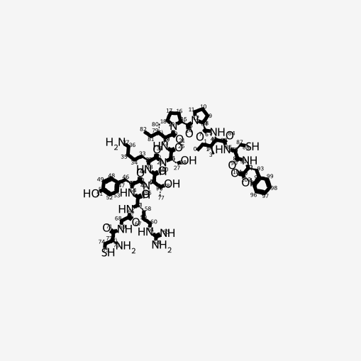 CC[C@H](C)[C@H](NC(=O)[C@@H]1CCCN1C(=O)[C@@H]1CCCN1C(=O)[C@@H](NC(=O)[C@H](CO)NC(=O)[C@H](CCCCN)NC(=O)[C@@H](NC(=O)[C@H](Cc1ccc(O)cc1)NC(=O)[C@H](CCCNC(=N)N)NC(=O)CNC(=O)[C@@H](N)CS)[C@@H](C)O)[C@@H](C)CC)C(=O)N[C@@H](CS)C(=O)N[C@@H](Cc1ccccc1)C(=O)O